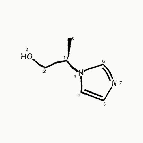 C[C@H](CO)n1ccnc1